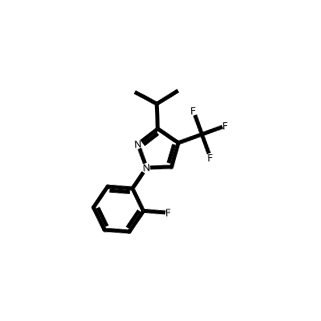 CC(C)c1nn(-c2ccccc2F)cc1C(F)(F)F